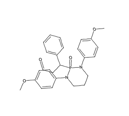 COc1ccc(N2CCCN(c3ccc(OC)cc3)P2(=O)C(CC=O)c2ccccc2)cc1